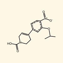 CC(C)Oc1cc(C2=CCN(C(=O)O)CC2)ccc1[N+](=O)[O-]